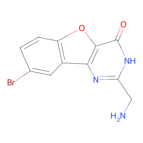 NCc1nc2c(oc3ccc(Br)cc32)c(=O)[nH]1